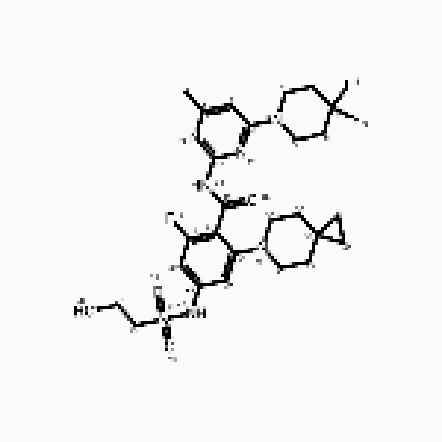 Cc1cc(N2CCC(F)(F)CC2)nc(NC(=O)c2c(F)cc(NS(=O)(=O)CCO)cc2N2CCC3(CC2)CC3)n1